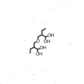 CCC(COCC(CC)C(O)O)C(O)O